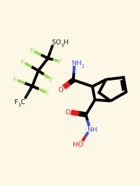 NC(=O)C1C2C=CC(C2)C1C(=O)NO.O=S(=O)(O)C(F)(F)C(F)(F)C(F)(F)C(F)(F)F